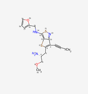 CC#Cc1c(C[C@@H](N)COC)sc2c(NCc3ccco3)snc12